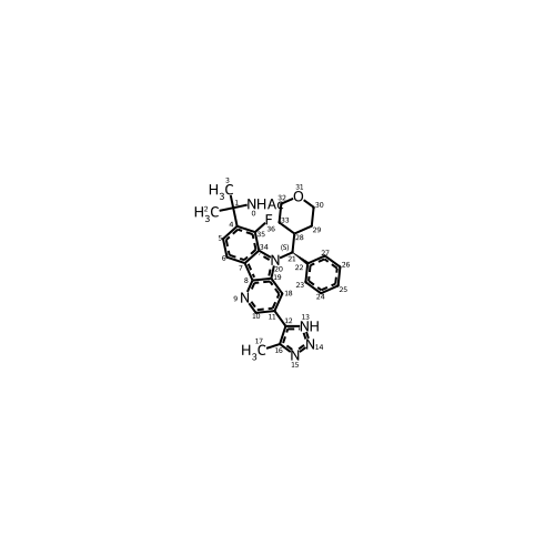 CC(=O)NC(C)(C)c1ccc2c3ncc(-c4[nH]nnc4C)cc3n([C@H](c3ccccc3)C3CCOCC3)c2c1F